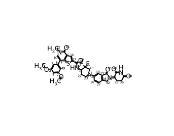 COc1cc(OC)cc(-c2cn(C)c(=O)c3cc(C(=O)NC4CCN(c5ccc6c(c5)C(=O)N(C5CCC(=O)NC5=O)C6)CC4(F)F)sc23)c1